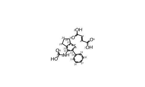 O=C(O)/C=C/C(=O)O.O=C(O)Nc1c(-c2ccccc2)sc2c1CCC2